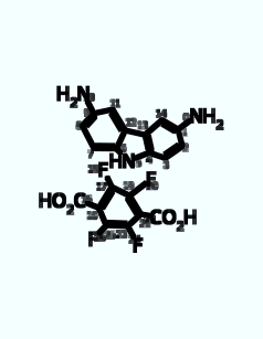 Nc1ccc2[nH]c3ccc(N)cc3c2c1.O=C(O)c1c(F)c(F)c(C(=O)O)c(F)c1F